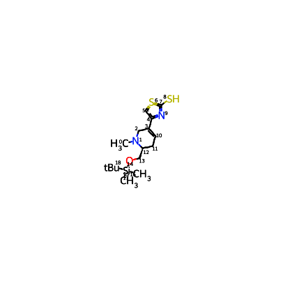 CN1CC(c2csc(S)n2)=CC[C@H]1CO[Si](C)(C)C(C)(C)C